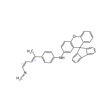 C=N/C=C\C=C(/C)c1ccc(Nc2ccc3c(c2)C2(c4ccccc4O3)c3ccccc3-c3ccccc32)cc1